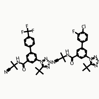 CC(C)(C#N)NC(=O)c1cc(-c2ccc(C(F)(F)F)cc2)cc(-n2nnnc2C(C)(C)C)c1.CC(C)(C#N)NC(=O)c1cc(-c2ccc(Cl)c(F)c2)cc(-n2nnnc2C(C)(C)C)c1